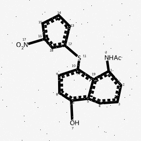 CC(=O)Nc1cccc2c(O)ccc(Sc3cccc([N+](=O)[O-])c3)c12